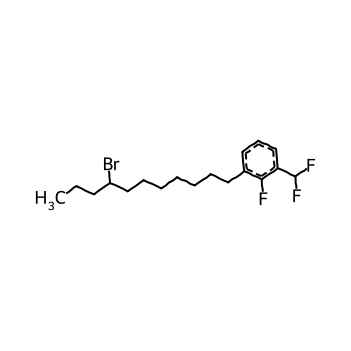 CCCC(Br)CCCCCCCc1cccc(C(F)F)c1F